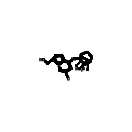 CCOC(=O)[C@H]1C2CCC(CC2)[C@@H]1Nc1nc(Cl)nn2c(CO)ccc12